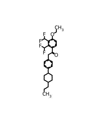 CCCC1CCC(c2ccc(CC(=O)c3ccc(OCC)c(C(F)F)c3C(F)F)cc2)CC1